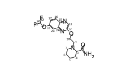 NC(=O)C1C[CH]CCN1CCOc1cnc2ccc(OC(F)F)cc2n1